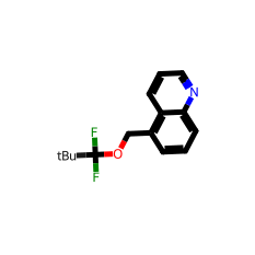 CC(C)(C)C(F)(F)OCc1cccc2ncccc12